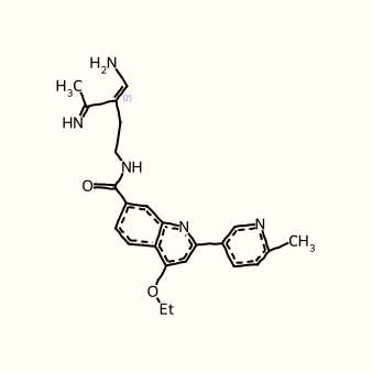 CCOc1cc(-c2ccc(C)nc2)nc2cc(C(=O)NCC/C(=C/N)C(C)=N)ccc12